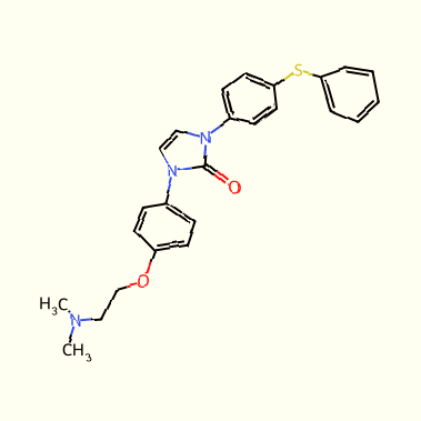 CN(C)CCOc1ccc(-n2ccn(-c3ccc(Sc4ccccc4)cc3)c2=O)cc1